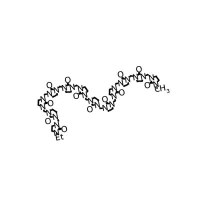 CCN1CCN(CN2CCN(CN3CCN(CN4CCN(CN5CCN(CN6CCN(CN7CCN(CN8CCN(CN9CCN(CN%10CCN(CN%11CCN(CN%12CCN(C)C%12=O)C%11=O)C%10=O)C9=O)C8=O)C7=O)C6=O)C5=O)C4=O)C3=O)C2=O)C1=O